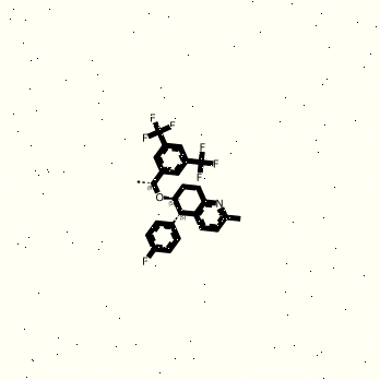 Cc1ccc2c(n1)CC[C@H](O[C@H](C)c1cc(C(F)(F)F)cc(C(F)(F)F)c1)[C@H]2c1ccc(F)cc1